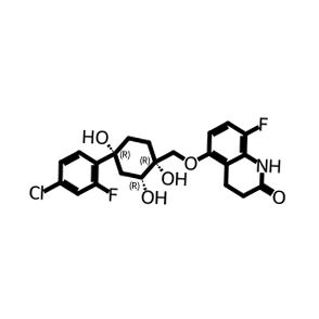 O=C1CCc2c(OC[C@]3(O)CC[C@](O)(c4ccc(Cl)cc4F)C[C@H]3O)ccc(F)c2N1